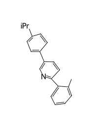 Cc1ccccc1-c1ccc(-c2ccc(C(C)C)cc2)cn1